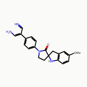 COc1ccc2c(c1)CC1(CCN(c3ccc(/C(C=N)=C/N)cc3)C1=O)N2